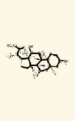 CC(C(=O)O)[C@@H](C)[C@H]1CC[C@H]2[C@@H]3[C@H](O)C[C@@H]4C[C@H](O)CC[C@]4(C)[C@H]3C[C@H](O)[C@]12C